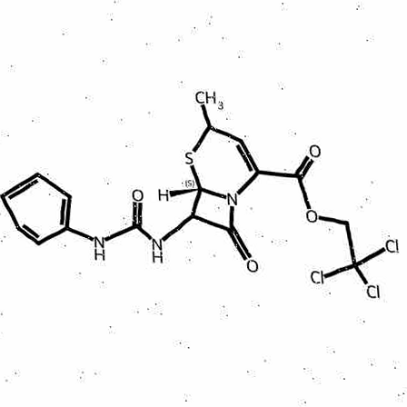 CC1C=C(C(=O)OCC(Cl)(Cl)Cl)N2C(=O)C(NC(=O)Nc3ccccc3)[C@@H]2S1